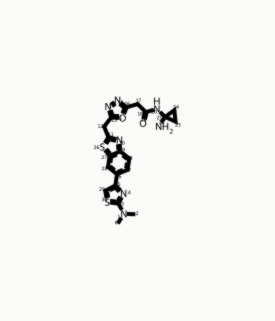 CN(C)c1nc(-c2ccc3nc(Cc4nnc(CC(=O)NC5(N)CC5)o4)sc3c2)cs1